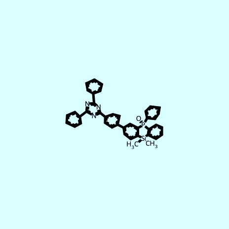 C[Si]1(C)c2ccccc2P(=O)(c2ccccc2)c2cc(-c3ccc(-c4nc(-c5ccccc5)nc(-c5ccccc5)n4)cc3)ccc21